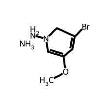 COC1=CN(N)CC(Br)=C1.N